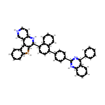 c1ccc(-c2nc(-c3ccc(-c4ccc(-c5nc6ccncc6c6c5sc5ccccc56)c5ccccc45)cc3)nc3ccccc23)cc1